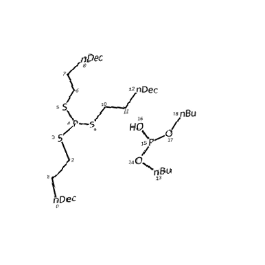 CCCCCCCCCCCCSP(SCCCCCCCCCCCC)SCCCCCCCCCCCC.CCCCOP(O)OCCCC